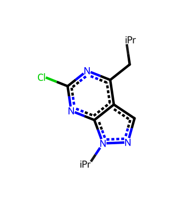 CC(C)Cc1nc(Cl)nc2c1cnn2C(C)C